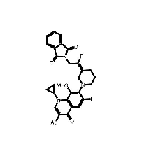 COc1c(N2CCC/C(=C(\F)CN3C(=O)c4ccccc4C3=O)C2)c(F)cc2c(=O)c(C(C)=O)cn(C3CC3)c12